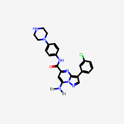 CCN(CC)c1cc(C(=O)Nc2ccc(N3CCNCC3)cc2)nc2c(-c3cccc(Cl)c3)cnn12